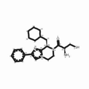 N[C@H](CS)C(=O)N1CCn2cc(-c3ccccc3)nc2[C@H]1CC1CCCCC1